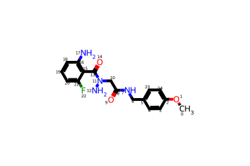 COc1ccc(CNC(=O)CN(N)C(=O)c2c(N)cccc2F)cc1